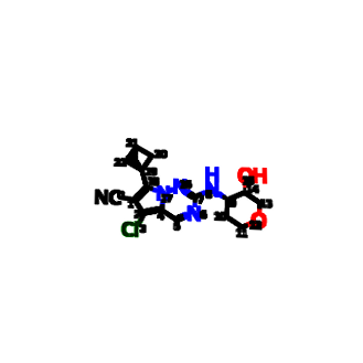 N#Cc1c(Cl)c2cnc(N[C@@H]3CCOC[C@H]3O)nn2c1C12CC(C1)C2